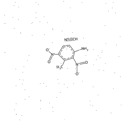 C#N.Cc1c([N+](=O)[O-])ccc(N)c1[N+](=O)[O-]